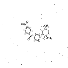 CN1CC[N+](C)(Cc2ccc(C(=O)c3ccc([N+](=O)[O-])cc3)cc2)CC1